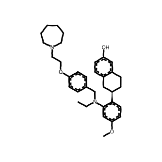 CCN(Cc1ccc(OCCN2CCCCCC2)cc1)c1cc(OC)ccc1[C@@H]1CCc2cc(O)ccc2C1